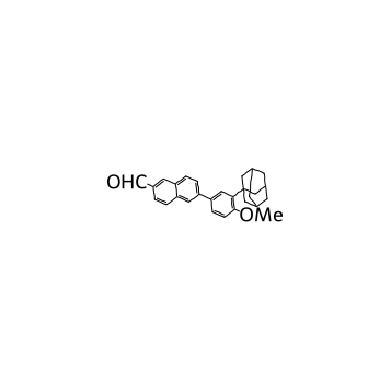 COc1ccc(-c2ccc3cc(C=O)ccc3c2)cc1C12CC3CC(CC(C3)C1)C2